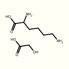 NCCCCC(N)C(=O)O.O=C(O)CO